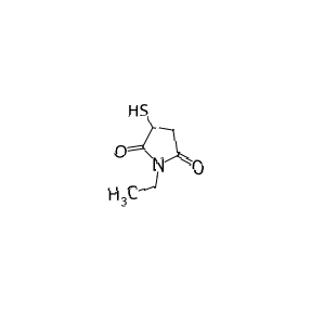 CCN1C(=O)CC(S)C1=O